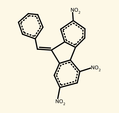 O=[N+]([O-])c1ccc2c(c1)C(=Cc1ccccc1)c1cc([N+](=O)[O-])cc([N+](=O)[O-])c1-2